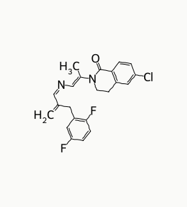 C=C(/C=N\C=C(/C)N1CCc2cc(Cl)ccc2C1=O)Cc1cc(F)ccc1F